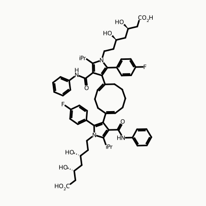 CC(C)c1c(C(=O)Nc2ccccc2)c(/C2=C/CCCC/C(c3c(C(=O)Nc4ccccc4)c(C(C)C)n(CC[C@@H](O)C[C@@H](O)CC(=O)O)c3-c3ccc(F)cc3)=C\CC2)c(-c2ccc(F)cc2)n1CC[C@@H](O)C[C@@H](O)CC(=O)O